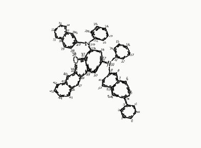 c1ccc(-c2ccc3cc(N(c4ccccc4)c4cc(N(c5ccccc5)c5ccc6ccccc6c5)c5oc6cc7ccccc7cc6c5c4)ccc3c2)cc1